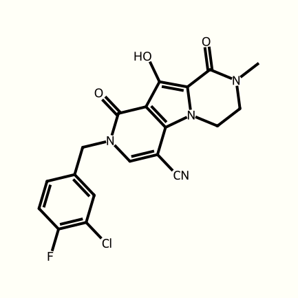 CN1CCn2c(c(O)c3c(=O)n(Cc4ccc(F)c(Cl)c4)cc(C#N)c32)C1=O